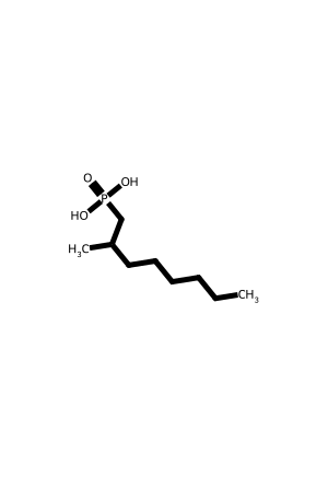 CCCCCCC(C)CP(=O)(O)O